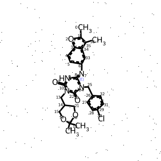 Cc1oc2ccc(/N=c3\[nH]c(=O)n(CC4COC(C)(C)OC4)c(=O)n3Cc3ccc(Cl)cc3)cc2c1C